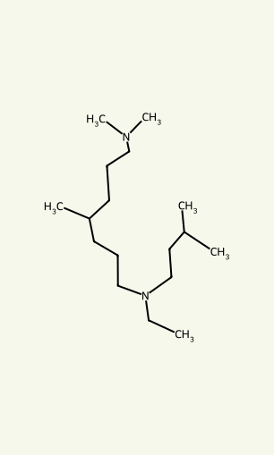 CCN(CCCC(C)CCCN(C)C)CCC(C)C